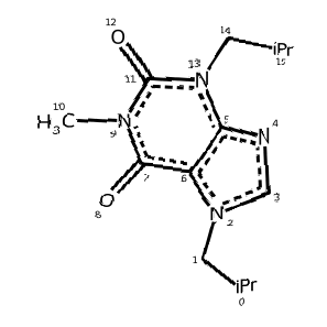 CC(C)Cn1cnc2c1c(=O)n(C)c(=O)n2CC(C)C